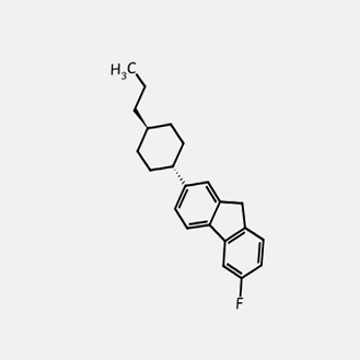 CCC[C@H]1CC[C@H](c2ccc3c(c2)Cc2ccc(F)cc2-3)CC1